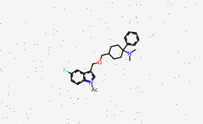 CC(=O)n1cc(COCC2CCC(c3ccccc3)(N(C)C)CC2)c2cc(F)ccc21